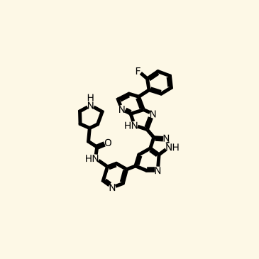 O=C(CC1CCNCC1)Nc1cncc(-c2cnc3[nH]nc(-c4nc5c(-c6ccccc6F)ccnc5[nH]4)c3c2)c1